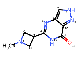 CN1CC(c2nc3c[nH]nc3c(=O)[nH]2)C1